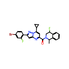 CC1c2ccccc2C(F)CN1C(=O)c1cc(C2CC2)n2nc(-c3ccc(Br)cc3F)cc2n1